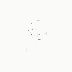 CCOC(=O)C1(C)CC(CC)=NO1